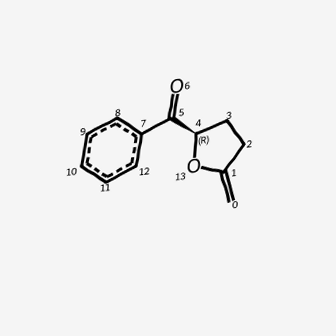 C=C1CC[C@H](C(=O)c2ccccc2)O1